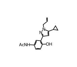 C=CCn1nc(-c2cc(NC(C)=O)ccc2O)cc1C1CC1